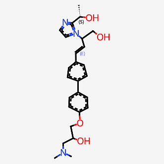 C[C@H](O)c1nccn1C(/C=C/c1ccc(-c2ccc(OCC(O)CN(C)C)cc2)cc1)CO